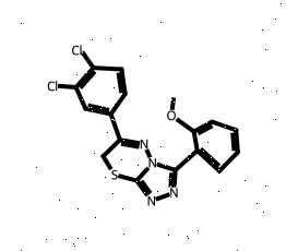 COc1ccccc1-c1nnc2n1N=C(c1ccc(Cl)c(Cl)c1)CS2